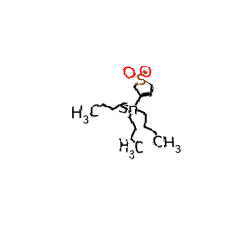 CCC[CH2][Sn]([CH2]CCC)([CH2]CCC)[C]1=CCS(=O)(=O)C1